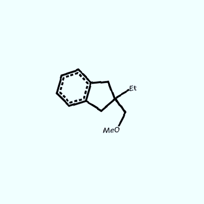 CCC1(COC)Cc2ccccc2C1